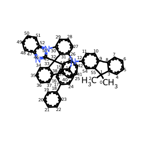 CC1(C)c2ccccc2-c2ccc(N(c3ccc(-c4ccccc4)cc3)c3cccc4c3C3(c5ccccc5-c5ccccc53)c3nc5ccccc5n3-4)cc21